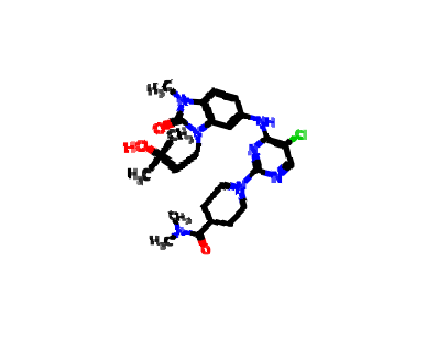 CN(C)C(=O)C1CCN(c2ncc(Cl)c(Nc3ccc4c(c3)n(CCC(C)(C)O)c(=O)n4C)n2)CC1